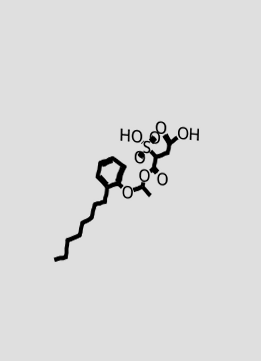 CCCCCCCCc1ccccc1OC(C)OC(=O)C(CC(=O)O)S(=O)(=O)O